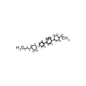 CCCC[C@H]1CC[C@H](c2ccc(-c3ccc([C@H]4CC[C@H](CC)CC4)nn3)cc2)CC1